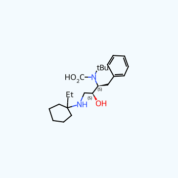 CCC1(NC[C@H](O)[C@H](Cc2ccccc2)N(C(=O)O)C(C)(C)C)CCCCC1